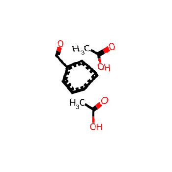 CC(=O)O.CC(=O)O.O=Cc1ccccc1